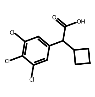 O=C(O)C(c1cc(Cl)c(Cl)c(Cl)c1)C1CCC1